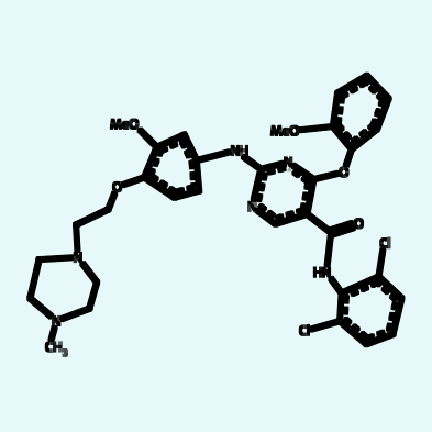 COc1cc(Nc2ncc(C(=O)Nc3c(Cl)cccc3Cl)c(Oc3ccccc3OC)n2)ccc1OCCN1CCN(C)CC1